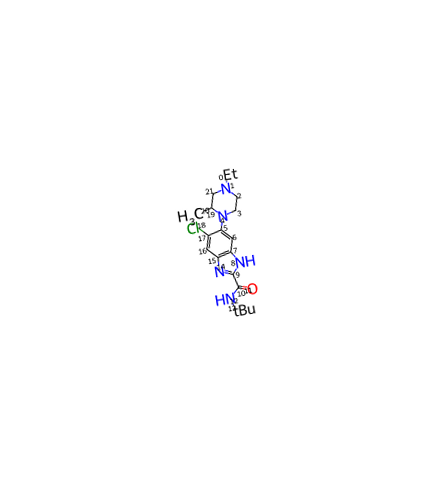 CCN1CCN(c2cc3[nH]c(C(=O)NC(C)(C)C)nc3cc2Cl)C(C)C1